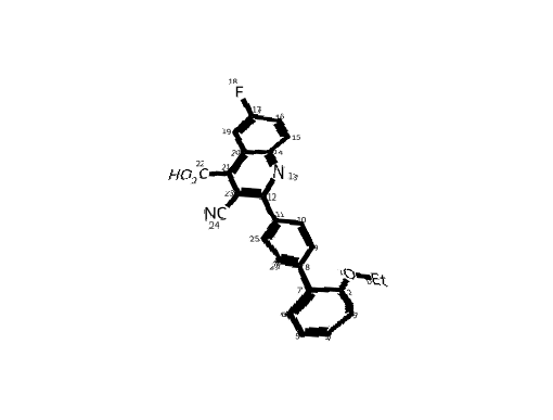 CCOc1ccccc1-c1ccc(-c2nc3ccc(F)cc3c(C(=O)O)c2C#N)cc1